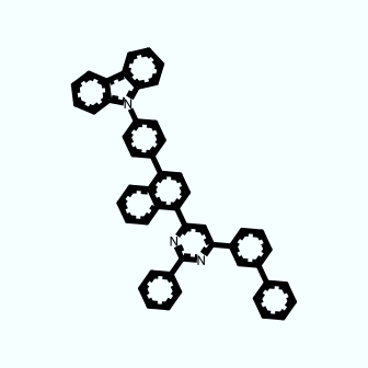 c1ccc(-c2cccc(-c3cc(-c4ccc(-c5ccc(-n6c7ccccc7c7ccccc76)cc5)c5ccccc45)nc(-c4ccccc4)n3)c2)cc1